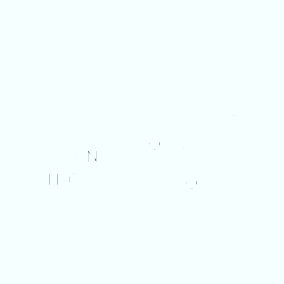 CNCOC(=O)C1CC1